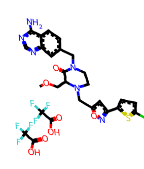 COCC1C(=O)N(Cc2ccc3c(N)ncnc3c2)CCN1Cc1cc(-c2ccc(Cl)s2)no1.O=C(O)C(F)(F)F.O=C(O)C(F)(F)F